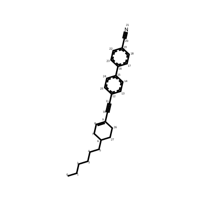 CCCCCCC1CC=C(C#Cc2ccc(-c3ccc(C#N)cc3)cc2)CC1